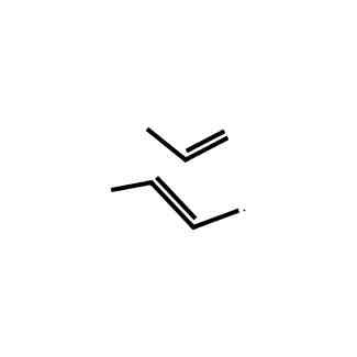 C=CC.[CH2]C=CC